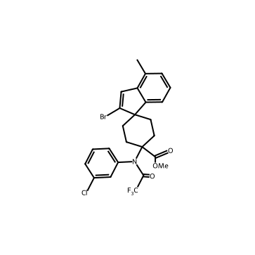 COC(=O)C1(N(C(=O)C(F)(F)F)c2cccc(Cl)c2)CCC2(CC1)C(Br)=Cc1c(C)cccc12